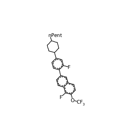 CCCCCC1CCC(c2ccc(-c3ccc4c(F)c(OC(F)(F)F)ccc4c3)c(F)c2)CC1